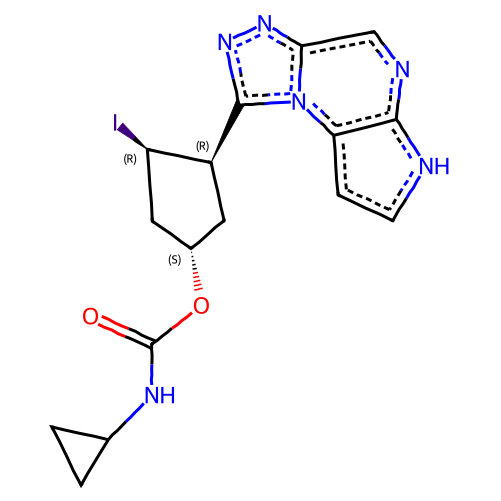 O=C(NC1CC1)O[C@@H]1C[C@@H](I)[C@@H](c2nnc3cnc4[nH]ccc4n23)C1